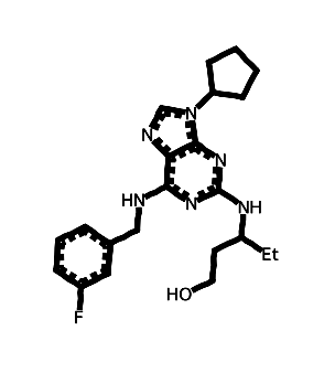 CCC(CCO)Nc1nc(NCc2cccc(F)c2)c2ncn(C3CCCC3)c2n1